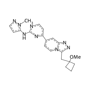 COC1(Cc2nnc3cc(-c4ccnc(Nc5ccnn5C)n4)ccn23)CCC1